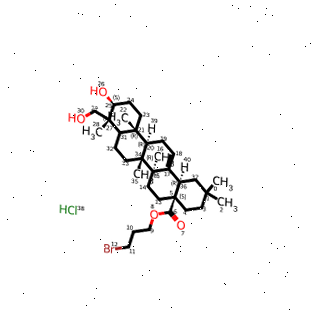 CC1(C)CC[C@]2(C(=O)OCCCBr)CC[C@]3(C)C(=CC[C@@H]4[C@@]5(C)CC[C@H](O)[C@@](C)(CO)C5CC[C@]43C)[C@H]2C1.Cl